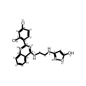 Oc1cc(NCCNc2nc(-c3ccc(Cl)cc3Cl)nc3ccccc23)no1